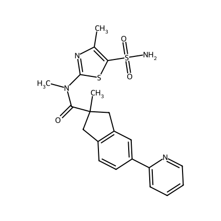 Cc1nc(N(C)C(=O)C2(C)Cc3ccc(-c4ccccn4)cc3C2)sc1S(N)(=O)=O